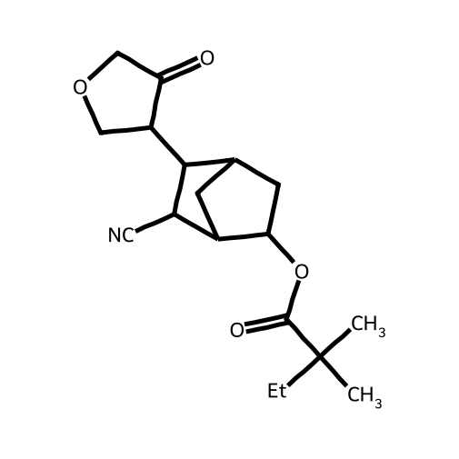 CCC(C)(C)C(=O)OC1CC2CC1C(C#N)C2C1COCC1=O